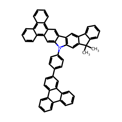 CC1(C)c2ccccc2-c2cc3c4cc5c6ccccc6c6ccccc6c5cc4n(-c4ccc(-c5ccc6c7ccccc7c7ccccc7c6c5)cc4)c3cc21